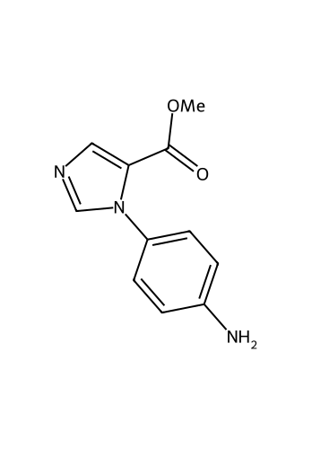 COC(=O)c1cncn1-c1ccc(N)cc1